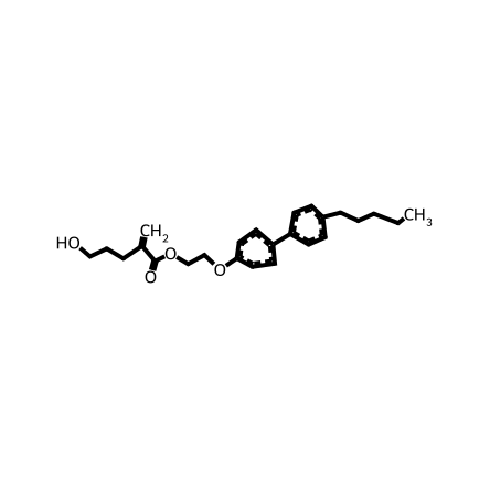 C=C(CCCO)C(=O)OCCOc1ccc(-c2ccc(CCCCC)cc2)cc1